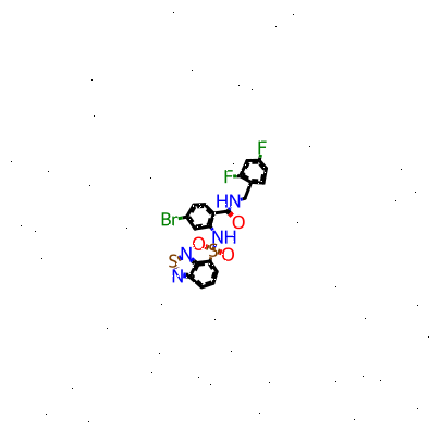 O=C(NCc1ccc(F)cc1F)c1ccc(Br)cc1NS(=O)(=O)c1cccc2nsnc12